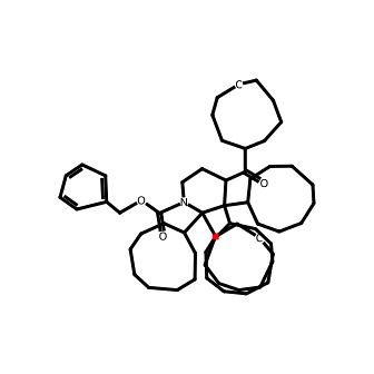 O=C(C1CCCCCCCC1)C1CCN(C(=O)OCc2ccccc2)C(C2CCCCCCCC2)(C2CCCCCCCC2)C1(C1CCCCCCCC1)C1CCCCCCCC1